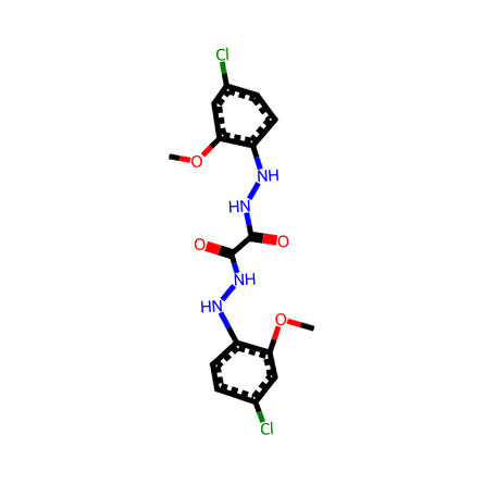 COc1cc(Cl)ccc1NNC(=O)C(=O)NNc1ccc(Cl)cc1OC